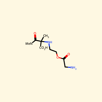 CNC(=O)C(C)(NCCOC(=O)CN)C(=O)O